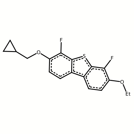 CCOc1ccc2c(sc3c(F)c(OCC4CC4)ccc32)c1F